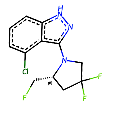 FC[C@H]1CC(F)(F)CN1c1n[nH]c2cccc(Cl)c12